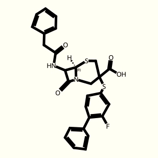 O=C(Cc1ccccc1)NC1C(=O)N2CC(Sc3ccc(-c4ccccc4)c(F)c3)(C(=O)O)CS[C@H]12